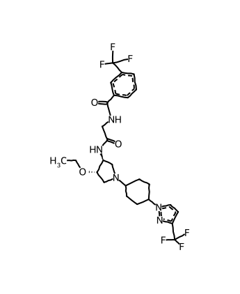 CCO[C@H]1CN(C2CCC(n3ccc(C(F)(F)F)n3)CC2)C[C@@H]1NC(=O)CNC(=O)c1cccc(C(F)(F)F)c1